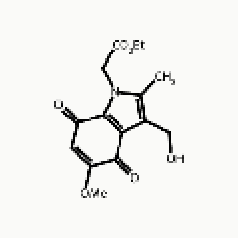 CCOC(=O)Cn1c(C)c(CO)c2c1C(=O)C=C(OC)C2=O